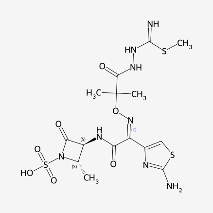 CSC(=N)NNC(=O)C(C)(C)O/N=C(\C(=O)N[C@@H]1C(=O)N(S(=O)(=O)O)[C@H]1C)c1csc(N)n1